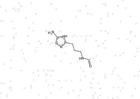 Nc1cnc(CCCN[C]=O)[nH]1